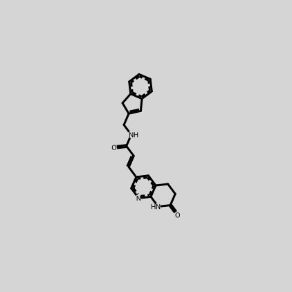 O=C(C=Cc1cnc2c(c1)CCC(=O)N2)NCC1=Cc2ccccc2C1